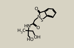 CC(CO)(CO)NC(=O)Cn1sc2ccccc2c1=O